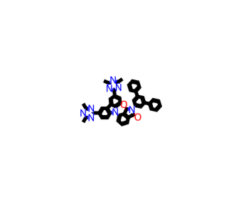 Cc1nc(C)nc(-c2ccc3c(c2)c2cc(-c4nc(C)nc(C)n4)ccc2n3-c2cccc3c2C(=O)N(c2cc(-c4ccccc4)cc(-c4ccccc4)c2)C3=O)n1